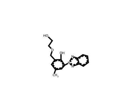 Cc1cc(COCCO)c(O)c(-n2nc3ccccc3n2)c1